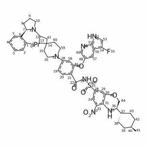 CC(C)c1ccccc1[C@H]1CCCN1C1CC2(CCN(c3ccc(C(=O)NS(=O)(=O)c4cc5c(c([N+](=O)[O-])c4)N[C@H]([C@H]4CC[C@H](C)CC4)CO5)c(Oc4cnc5[nH]cc(F)c5c4)c3)CC2)C1